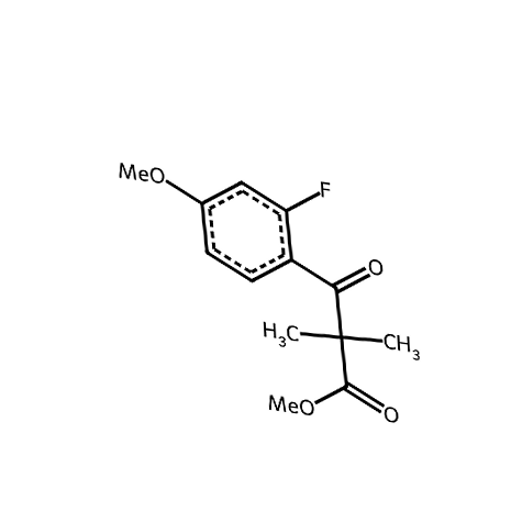 COC(=O)C(C)(C)C(=O)c1ccc(OC)cc1F